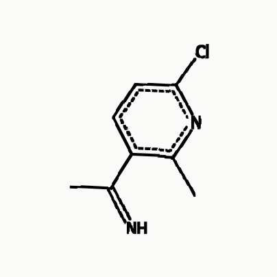 CC(=N)c1ccc(Cl)nc1C